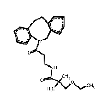 CCOCC(C)(C)C(=O)NCCC(=O)N1Cc2ccccc2CCc2ccccc21